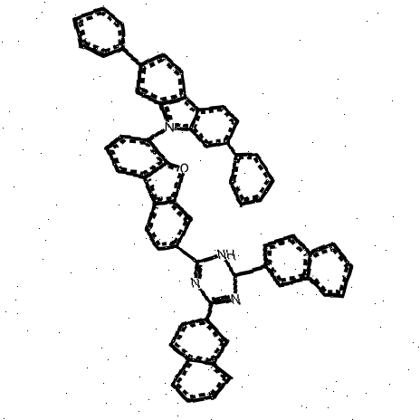 c1ccc(-c2ccc3c4ccc(-c5ccccc5)cc4n(-c4cccc5c4oc4cc(C6=NC(c7ccc8ccccc8c7)=NC(c7ccc8ccccc8c7)N6)ccc45)c3c2)cc1